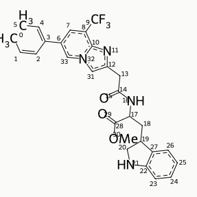 C/C=C\C(=C/C)c1cc(C(F)(F)F)c2nc(CC(=O)NC(CC3CNc4ccccc43)C(=O)OC)cn2c1